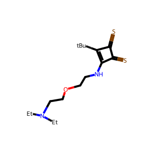 CCN(CC)CCOCCNc1c(C(C)(C)C)c(=S)c1=S